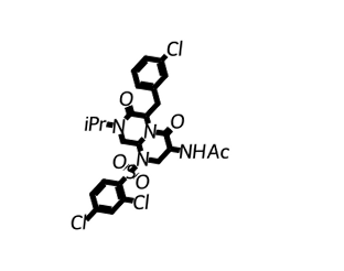 CC(=O)NC1CN(S(=O)(=O)c2ccc(Cl)cc2Cl)C2CN(C(C)C)C(=O)C(Cc3cccc(Cl)c3)N2C1=O